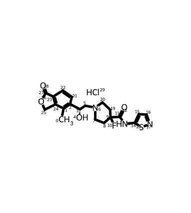 Cc1c([C@@H](O)CN2CCC(F)(C(=O)Nc3ccns3)CC2)ccc2c1COC2=O.Cl